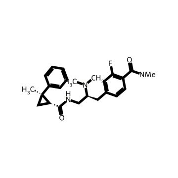 CNC(=O)c1ccc(C[C@@H](CNC(=O)[C@@H]2C[C@@]2(C)c2ccccc2)N(C)C)cc1F